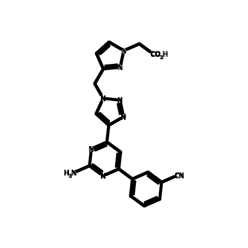 N#Cc1cccc(-c2cc(-c3cn(Cc4ccn(CC(=O)O)n4)nn3)nc(N)n2)c1